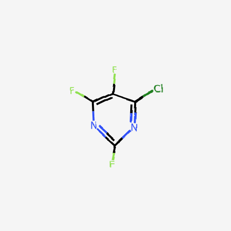 Fc1nc(F)c(F)c(Cl)n1